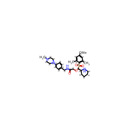 COc1cc(C)c(S(=O)(=O)C(OCC(=O)NCc2ccc(N3CCN(C)CC3)cc2)C2CCCCN2)c(C)c1